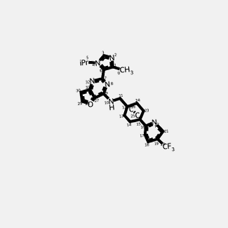 Cc1ncn(C(C)C)c1-c1nc(NCC23CCC(c4ccc(C(F)(F)F)cn4)(CC2)CC3)c2occc2n1